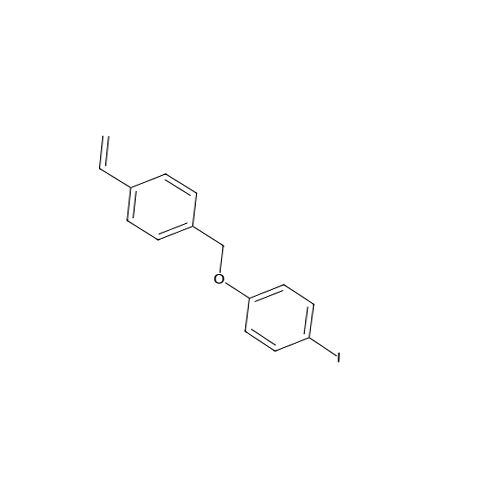 C=Cc1ccc(COc2ccc(I)cc2)cc1